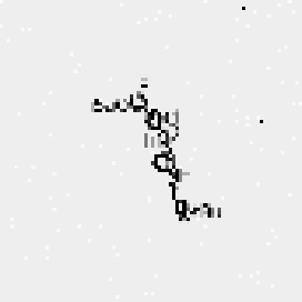 CC(C)COc1cc(F)cc(-c2ccc(C(=O)NSc3cccc(NCCCC4CN(C(C)(C)C)C(C)(C)C4)n3)c(Cl)n2)c1